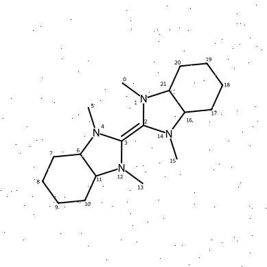 CN1C(=C2N(C)C3CCCCC3N2C)N(C)C2CCCCC21